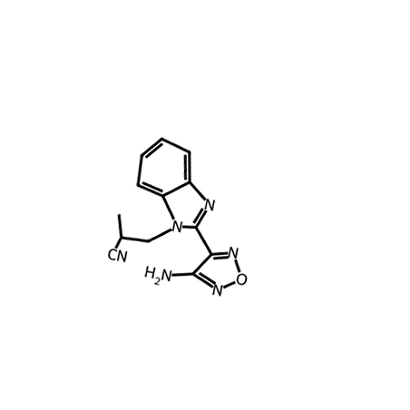 CC(C#N)Cn1c(-c2nonc2N)nc2ccccc21